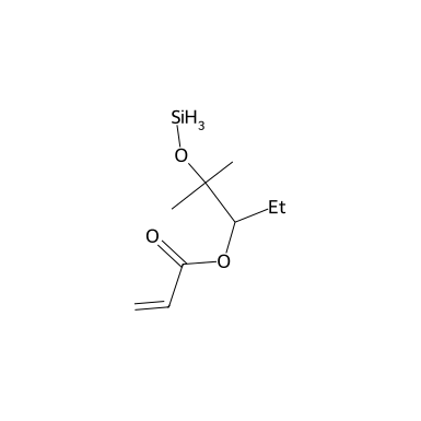 C=CC(=O)OC(CC)C(C)(C)O[SiH3]